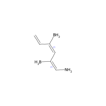 B/C(C=C)=C/C(B)=C\N